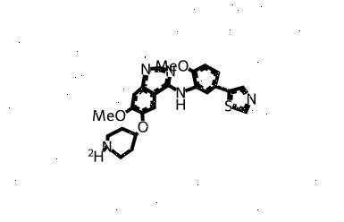 [2H]N1CCC(Oc2cc3c(Nc4cc(-c5cncs5)ccc4OC)ncnc3cc2OC)CC1